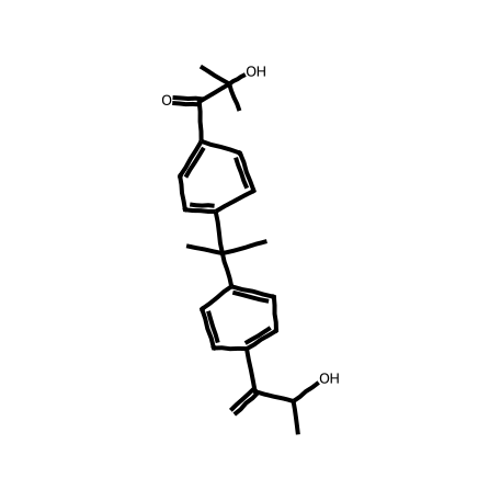 C=C(c1ccc(C(C)(C)c2ccc(C(=O)C(C)(C)O)cc2)cc1)C(C)O